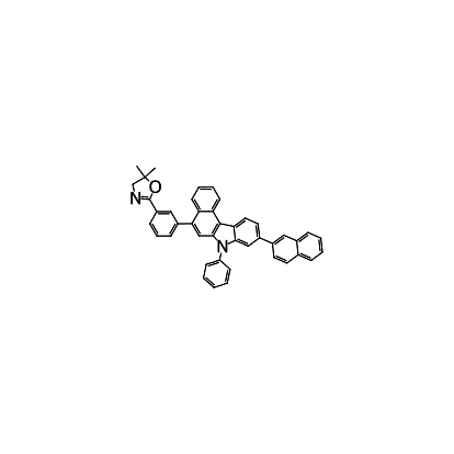 CC1(C)CN=C(c2cccc(-c3cc4c(c5ccccc35)c3ccc(-c5ccc6ccccc6c5)cc3n4-c3ccccc3)c2)O1